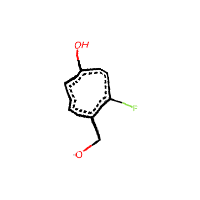 [O]Cc1ccc(O)cc1F